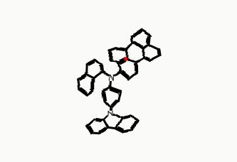 c1ccc(-c2cccc3cccc(-c4ccc(N(c5ccc(-n6c7ccccc7c7ccccc76)cc5)c5cccc6ccccc56)cc4)c23)cc1